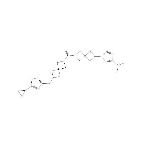 O=C(N1CC2(CC(Cc3cc(C4CC4)[nH]n3)C2)C1)N1CC2(CC(n3cnc(C(F)F)n3)C2)C1